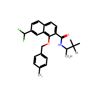 CCC(C)(C)C(NC(=O)c1ccc2ccc(C(F)F)cc2c1OCc1ccc(C(F)(F)F)cc1)C(=O)O